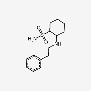 NS(=O)(=O)C1CCCCC1NCCc1ccccc1